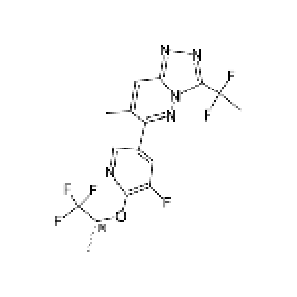 Cc1cc2nnc(C(C)(F)F)n2nc1-c1cnc(O[C@H](C)C(F)(F)F)c(F)c1